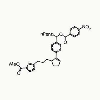 CCCCC[C@@H](OC(=O)c1ccc([N+](=O)[O-])cc1)c1ccc(C2=CCCC2CCCc2ccc(C(=O)OC)s2)cc1